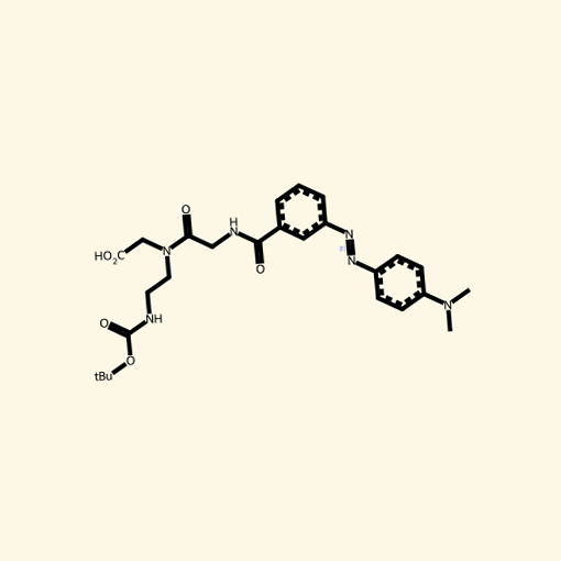 CN(C)c1ccc(/N=N/c2cccc(C(=O)NCC(=O)N(CCNC(=O)OC(C)(C)C)CC(=O)O)c2)cc1